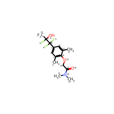 Cc1cc(C(F)(F)C(O)(F)C(F)(F)F)cc(C)c1OCC(=O)N(C)C